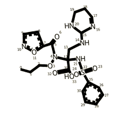 CCCON(C(=O)c1ccno1)C(CNC1N=CCCN1)(NS(=O)(=O)c1ccccc1)C(=O)O